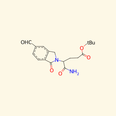 CC(C)(C)OC(=O)CCC(C(N)=O)N1Cc2cc(C=O)ccc2C1=O